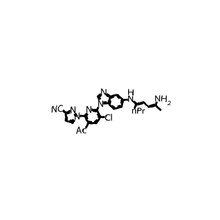 CCC/C(=C\C=C(\C)N)Nc1ccc2c(c1)ncn2-c1nc(-n2ccc(C#N)n2)c(C(C)=O)cc1Cl